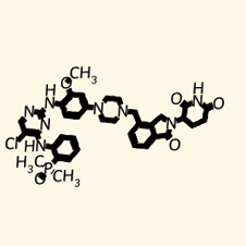 COc1cc(N2CCN(Cc3cccc4c3CN(C3CCC(=O)NC3=O)C4=O)CC2)ccc1Nc1ncc(Cl)c(Nc2ccccc2P(C)(C)=O)n1